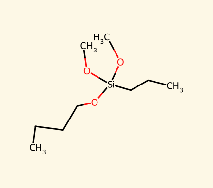 CCCCO[Si](CCC)(OC)OC